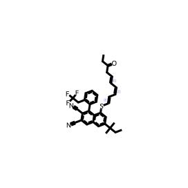 CCC(=O)C/C=C/C=C\C=C\Sc1cc(C(C)(C)CC)cc2cc(C#N)c(C#N)c(-c3ccccc3CC(F)(F)F)c12